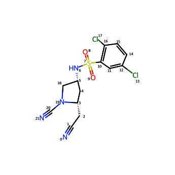 N#CC[C@H]1C[C@@H](NS(=O)(=O)c2cc(Cl)ccc2Cl)CN1C#N